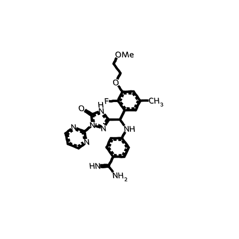 COCCOc1cc(C)cc(C(Nc2ccc(C(=N)N)cc2)c2nn(-c3ncccn3)c(=O)[nH]2)c1F